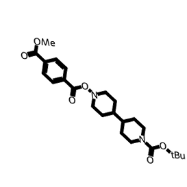 COC(=O)c1ccc(C(=O)ON2CCC(C3CCN(C(=O)OC(C)(C)C)CC3)CC2)cc1